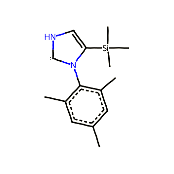 Cc1cc(C)c(N2[C]NC=C2[Si](C)(C)C)c(C)c1